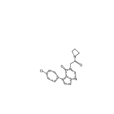 O=C(Cn1cnc2ccn(-c3ccc(Cl)cc3)c2c1=O)N1CCC1